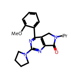 COc1ccccc1-c1nc(N2CCCC2)nc2c1CN(C(C)C)C2=O